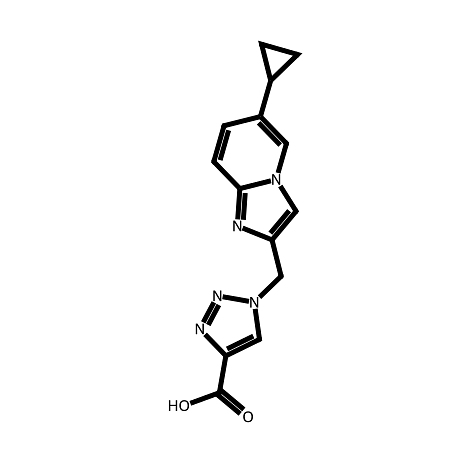 O=C(O)c1cn(Cc2cn3cc(C4CC4)ccc3n2)nn1